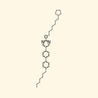 CCCCCCCc1ccc(-c2ccc(-c3cnc(OCCCCCCCC4CCCC4)nc3)cc2)cc1